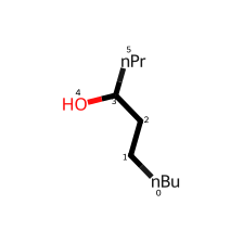 [CH2]CCCCCC(O)CCC